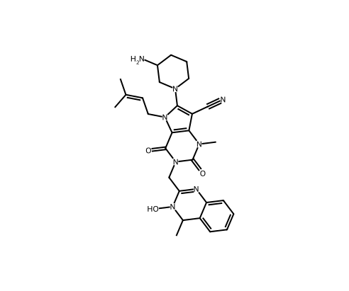 CC(C)=CCn1c(N2CCCC(N)C2)c(C#N)c2c1c(=O)n(CC1=Nc3ccccc3C(C)N1O)c(=O)n2C